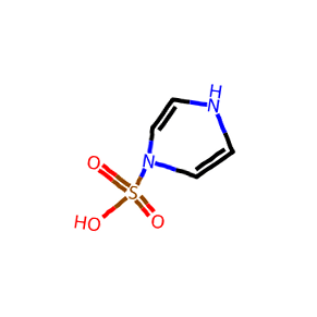 O=S(=O)(O)N1C=CNC=C1